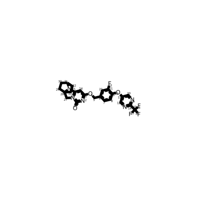 O=c1nc(OCc2ccc(Oc3cnc(C(F)(F)F)nc3)c(F)c2)cc2n1CC13CCC(CC1)N23